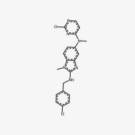 CN(c1ccc2c(c1)nc(NCc1ccc(Cl)cc1)n2C)c1ccnc(Cl)n1